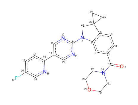 O=C(c1ccc2c(c1)N(c1ncc(-c3ccc(F)cn3)cn1)CC21CC1)N1CCOCC1